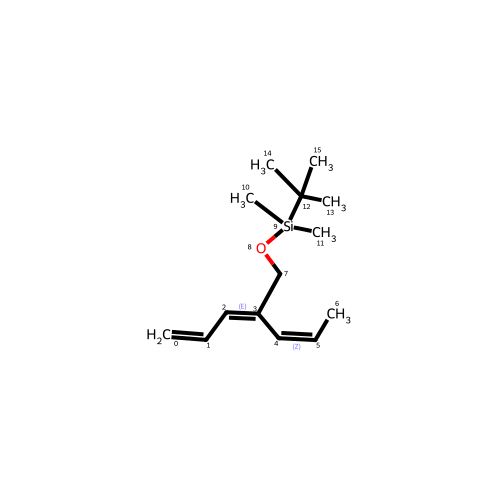 C=C/C=C(\C=C/C)CO[Si](C)(C)C(C)(C)C